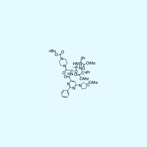 CCCCOC(=O)N1CCN(C(=O)[C@H](CP(=O)(N[C@H](C(=O)OC)C(C)C)N[C@H](C(=O)OC)C(C)C)NC(=O)c2cc(N3CC[C@H](OC)C3)nc(-c3ccccc3)n2)CC1